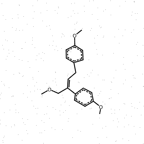 COC/C(=C/Cc1ccc(OC)cc1)c1ccc(OC)cc1